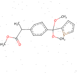 COC(=O)C(C)c1ccc(C(OC)(OC)c2cccs2)cc1